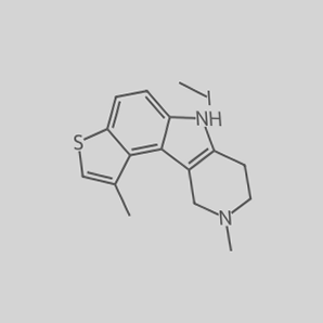 CI.Cc1csc2ccc3[nH]c4c(c3c12)CN(C)CC4